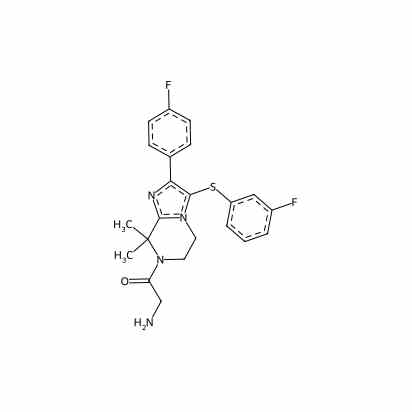 CC1(C)c2nc(-c3ccc(F)cc3)c(Sc3cccc(F)c3)n2CCN1C(=O)CN